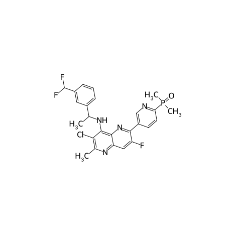 Cc1nc2cc(F)c(-c3ccc(P(C)(C)=O)nc3)nc2c(NC(C)c2cccc(C(F)F)c2)c1Cl